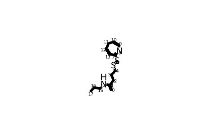 C=C(CCCSSC1=NC=CCC=C1)NCCC